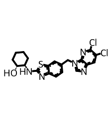 O[C@@H]1CCCC[C@H]1Nc1nc2ccc(Cn3cnc4cc(Cl)c(Cl)nc43)cc2s1